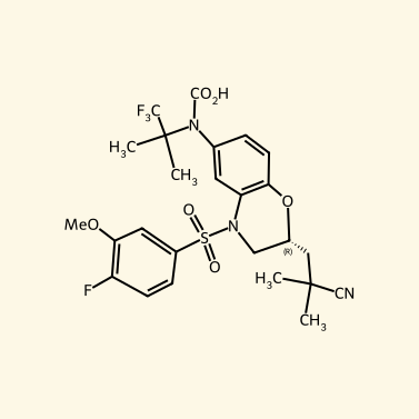 COc1cc(S(=O)(=O)N2C[C@@H](CC(C)(C)C#N)Oc3ccc(N(C(=O)O)C(C)(C)C(F)(F)F)cc32)ccc1F